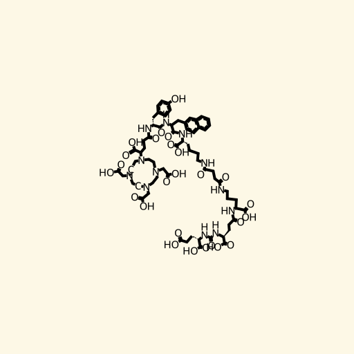 O=C(O)CC[C@H](NC(=O)N[C@@H](CCC(=O)NC(CCCNC(=O)CCC(=O)NCCCC[C@@H](NC(=O)C(Cc1ccc2ccccc2c1)NC(=O)[C@@H](Cc1ccc(O)cc1)NC(=O)CCC(C(=O)O)N1CCN(CC(=O)O)CCN(CC(=O)O)CCN(CC(=O)O)CC1)C(=O)O)C(=O)O)C(=O)O)C(=O)O